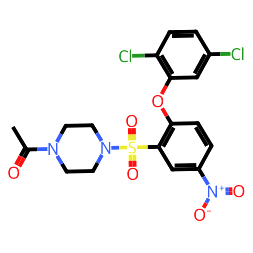 CC(=O)N1CCN(S(=O)(=O)c2cc([N+](=O)[O-])ccc2Oc2cc(Cl)ccc2Cl)CC1